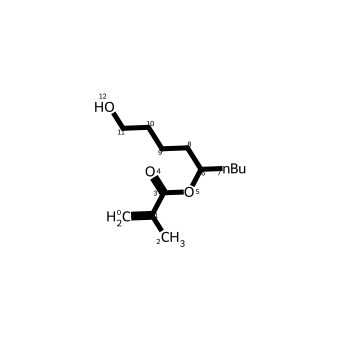 C=C(C)C(=O)OC(CCCC)CCCCO